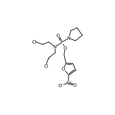 O=[N+]([O-])c1ccc(COP(=O)(N(CCCl)CCCl)N2CCCC2)o1